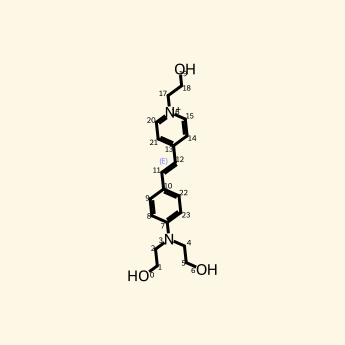 OCCN(CCO)c1ccc(/C=C/c2cc[n+](CCO)cc2)cc1